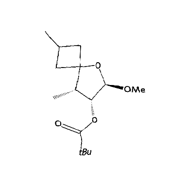 CO[C@@H]1OC2(CC(C)C2)[C@@H](C)[C@H]1OC(=O)C(C)(C)C